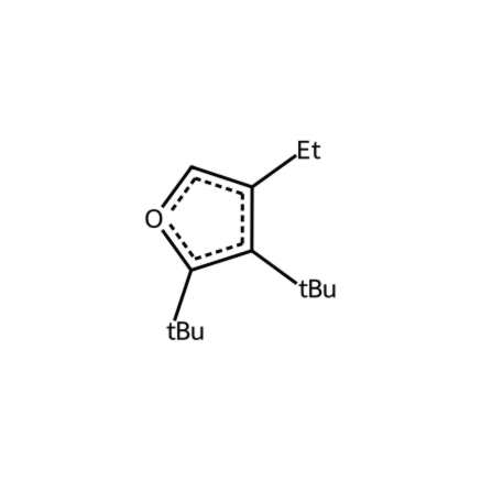 CCc1coc(C(C)(C)C)c1C(C)(C)C